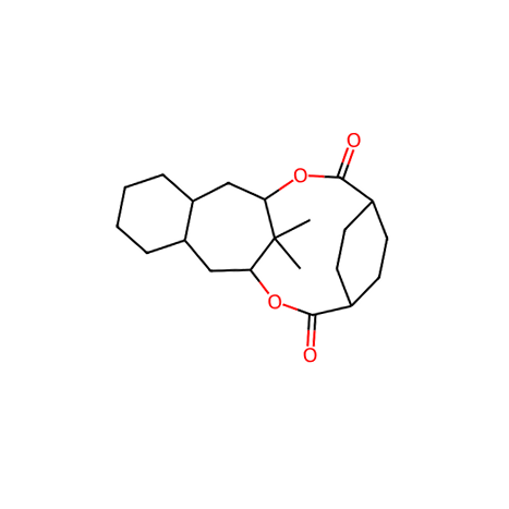 CC1(C)C2CC3CCCCC3CC1OC(=O)C1CCC(CC1)C(=O)O2